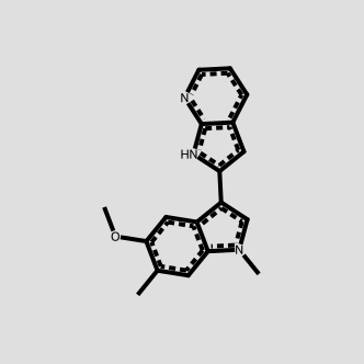 COc1cc2c(-c3cc4cccnc4[nH]3)cn(C)c2cc1C